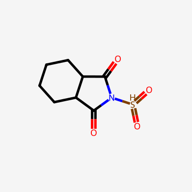 O=C1C2CCCCC2C(=O)N1[SH](=O)=O